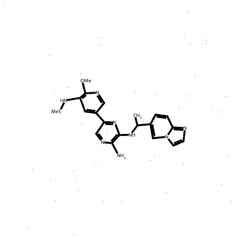 COc1ncc(-c2cnc(N)c(NC(C)c3ccc4nccn4c3)n2)cc1NSC